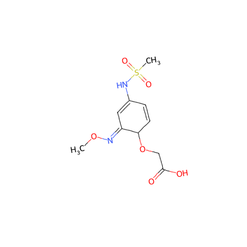 CON=C1C=C(NS(C)(=O)=O)C=CC1OCC(=O)O